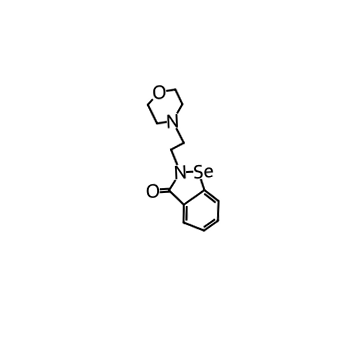 O=c1c2ccccc2[se]n1CCN1CCOCC1